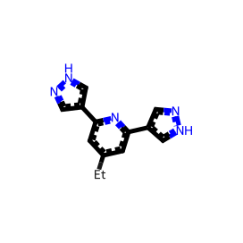 CCc1cc(-c2cn[nH]c2)nc(-c2cn[nH]c2)c1